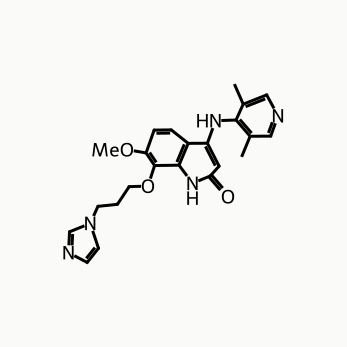 COc1ccc2c(Nc3c(C)cncc3C)cc(=O)[nH]c2c1OCCCn1ccnc1